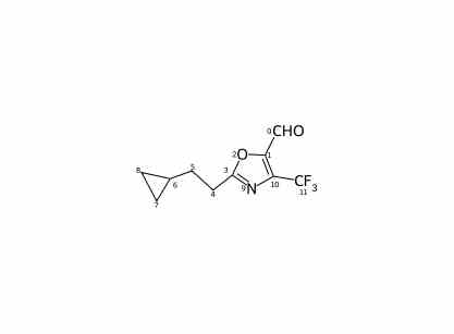 O=Cc1oc(CCC2CC2)nc1C(F)(F)F